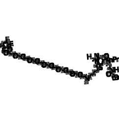 CCCN(CCCNC(=O)CC(C)(C)C)C(=O)C1=Cc2sc(CCCCCN(C)CCOCCOCCOCCOCCOCCOCCOCCOCCOCCOCCC(=O)Oc3c(F)c(F)cc(F)c3F)cc2N=C(N)C1